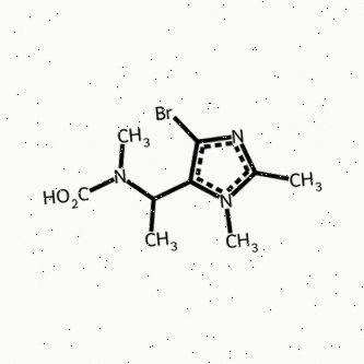 Cc1nc(Br)c(C(C)N(C)C(=O)O)n1C